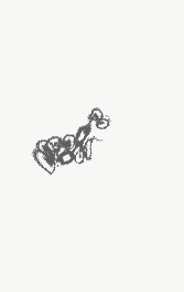 O=[N+]([O-])C1=C([N+](=O)[O-])C(c2ccc([N+](=O)[O-])cc2[N+](=O)[O-])=CC[CH]1